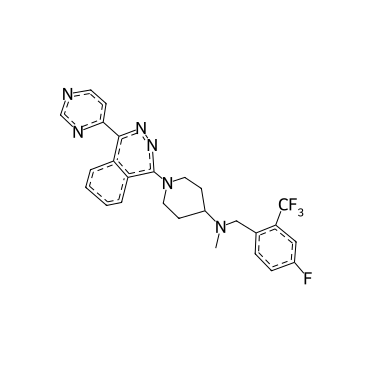 CN(Cc1ccc(F)cc1C(F)(F)F)C1CCN(c2nnc(-c3ccncn3)c3ccccc23)CC1